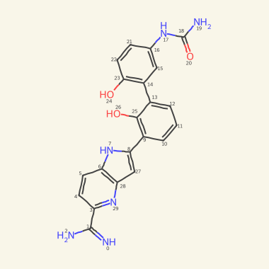 N=C(N)c1ccc2[nH]c(-c3cccc(-c4cc(NC(N)=O)ccc4O)c3O)cc2n1